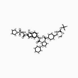 CC(C)(C)OC(=O)N[C@H](CF)C1CCC(C(=O)N2CC[C@@H](C3CCCCC3)[C@H]2C(=O)Nc2ccc3[nH]c(C(=O)NS(=O)(=O)N4CCCC4)cc3c2)CC1